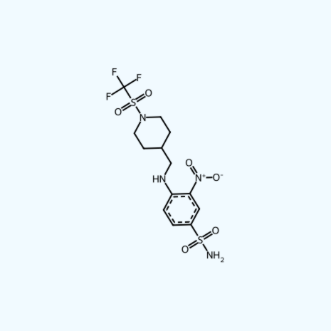 NS(=O)(=O)c1ccc(NCC2CCN(S(=O)(=O)C(F)(F)F)CC2)c([N+](=O)[O-])c1